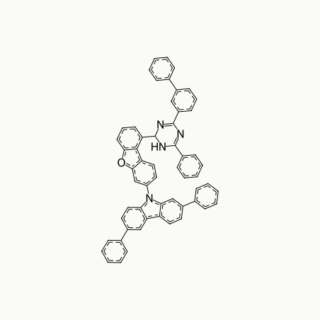 c1ccc(C2=NC(c3cccc(-c4ccccc4)c3)=NC(c3cccc4oc5cc(-n6c7ccc(-c8ccccc8)cc7c7ccc(-c8ccccc8)cc76)ccc5c34)N2)cc1